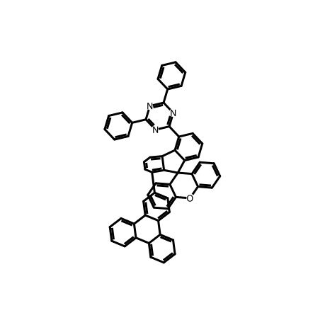 c1ccc(-c2nc(-c3ccccc3)nc(-c3cccc4c3-c3cccc(-c5ccc6c7ccccc7c7ccccc7c6c5)c3C43c4ccccc4Oc4ccccc43)n2)cc1